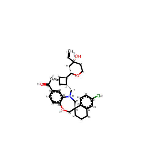 C=C[C@@]1(O)CCO[C@H]([C@@H]2CC[C@H]2CN2C[C@@]3(CCCc4cc(Cl)ccc43)COc3ccc(C(=O)OC)cc32)C1